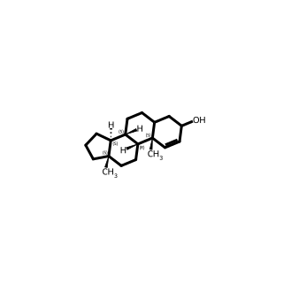 C[C@@]12CCC[C@H]1[C@@H]1CCC3CC(O)C=C[C@]3(C)[C@@H]1CC2